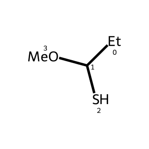 CCC(S)OC